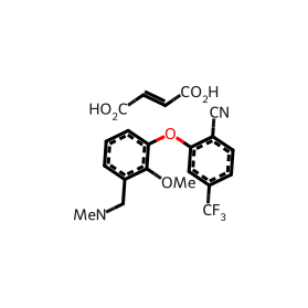 CNCc1cccc(Oc2cc(C(F)(F)F)ccc2C#N)c1OC.O=C(O)C=CC(=O)O